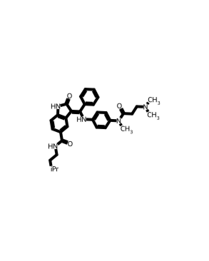 CC(C)CCNC(=O)c1ccc2c(c1)C(=C(Nc1ccc(N(C)C(=O)CCN(C)C)cc1)c1ccccc1)C(=O)N2